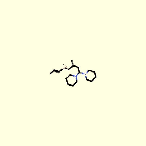 CC=C[SiH2]CC(C)CC(N1CCCCC1)N1CCCCC1